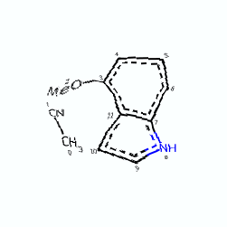 CC#N.COc1cccc2[nH]ccc12